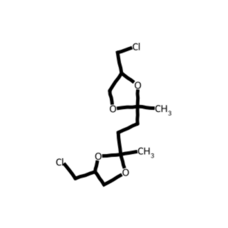 CC1(CCC2(C)OCC(CCl)O2)OCC(CCl)O1